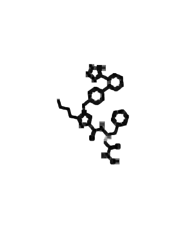 CCCCc1nc(C(=O)N[C@@H](CC(=O)NO)Cc2ccccc2)cn1Cc1ccc(-c2ccccc2-c2nnn[nH]2)cc1